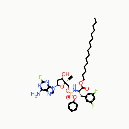 C#C[C@]1(CO[P@](=O)(N[C@@H](Cc2cc(F)cc(F)c2)C(=O)OCCCCCCCCCCCCCCCC)Oc2ccccc2)O[C@@H](n2cnc3c(N)nc(F)nc32)C[C@@H]1O